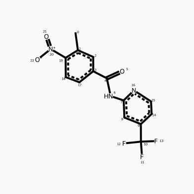 Cc1cc(C(=O)Nc2cc(C(F)(F)F)ccn2)ccc1[N+](=O)[O-]